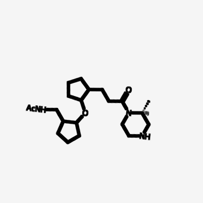 CC(=O)NCC1CCCC1OC1CCCC1CCC(=O)N1CCNC[C@H]1C